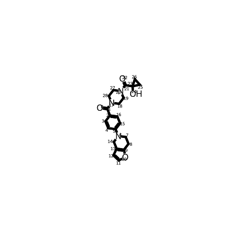 O=C(c1ccc(N2CCc3occc3C2)cc1)N1CCN(C(=O)C2(O)CC2)CC1